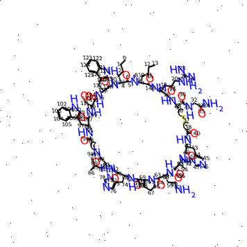 CCCC[C@H]1C(=O)N(C)[C@@H](CCCC)C(=O)N[C@@H](CCCNC(=N)N)C(=O)N[C@H](C(=O)NCC(N)=O)CSCC(=O)N[C@@H](Cc2cnc[nH]2)C(=O)N(C)[C@@H](C)C(=O)N[C@@H](CC(N)=O)C(=O)N2CCC[C@H]2C(=O)N[C@@H](Cc2cnc[nH]2)C(=O)N[C@@H](CC(C)C)C(=O)N(C)CC(=O)N[C@@H](Cc2c[nH]c3ccccc23)C(=O)N[C@@H](CO)C(=O)N[C@@H](Cc2c[nH]c3ccccc23)C(=O)N1C